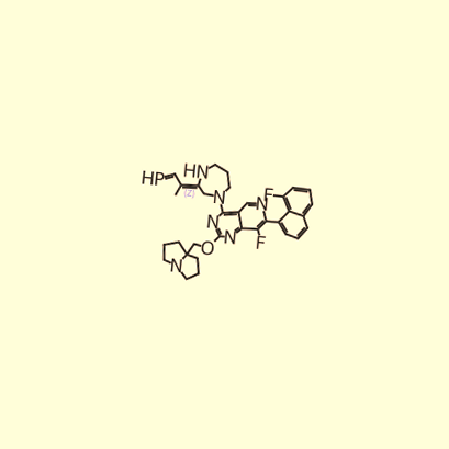 C/C(C=P)=C1\CN(c2nc(OCC34CCCN3CCC4)nc3c(F)c(-c4cccc5cccc(F)c45)ncc23)CCCN1